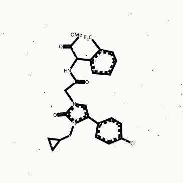 COC(=O)C(NC(=O)Cn1cc(-c2ccc(Cl)cc2)n(CC2CC2)c1=O)c1ccccc1C(F)(F)F